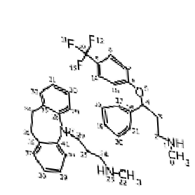 CNCCC(Oc1ccc(C(F)(F)F)cc1)c1ccccc1.CNCCCN1c2ccccc2CCc2ccccc21